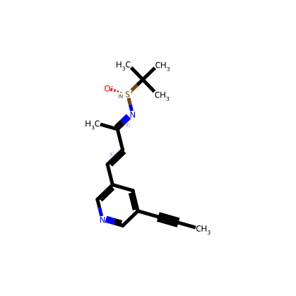 CC#Cc1cncc(/C=C/C(C)=N/[S@+]([O-])C(C)(C)C)c1